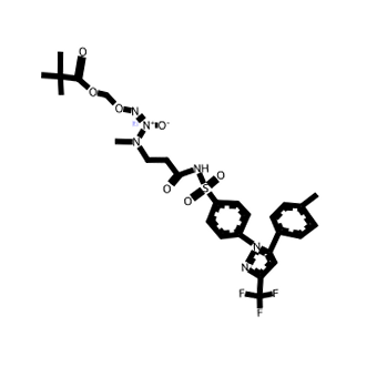 Cc1ccc(-c2cc(C(F)(F)F)nn2-c2ccc(S(=O)(=O)NC(=O)CCN(C)/[N+]([O-])=N\OCOC(=O)C(C)(C)C)cc2)cc1